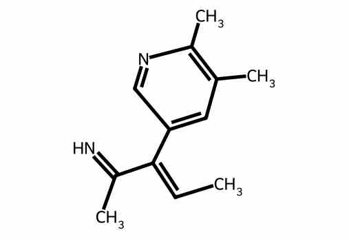 C/C=C(/C(C)=N)c1cnc(C)c(C)c1